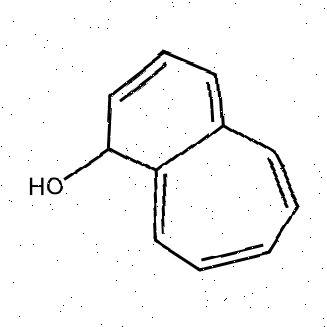 OC1C=CC=C2C=CC=CC=C21